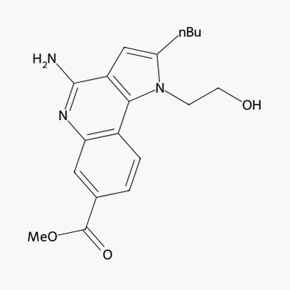 CCCCc1cc2c(N)nc3cc(C(=O)OC)ccc3c2n1CCO